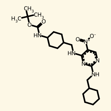 CC(C)(C)OC(=O)NC1CCC(CNc2nc(NCC3CCCCC3)ncc2[N+](=O)[O-])CC1